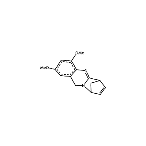 COc1cc2c(c(OC)c1)N=C1C3C=CC(C3)N1C2